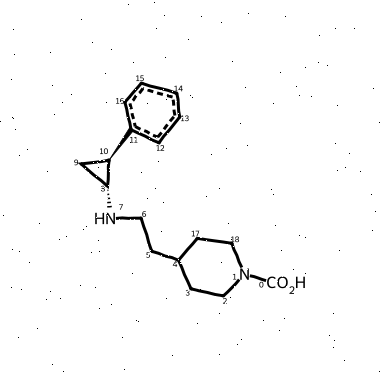 O=C(O)N1CCC(CCN[C@@H]2C[C@H]2c2ccccc2)CC1